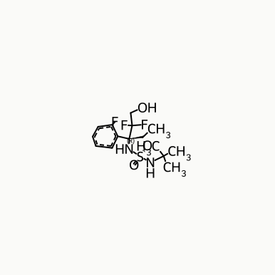 CC[C@@](NS(=O)(=O)NC(C)(C)C)(c1ccccc1F)C(F)(F)CO